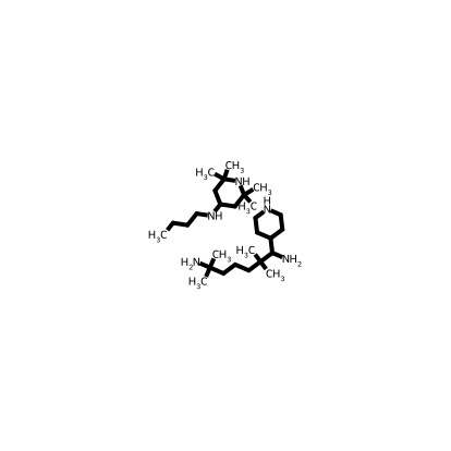 CC(C)(N)CCCC(C)(C)C(N)C1CCNCC1.CCCCNC1CC(C)(C)NC(C)(C)C1